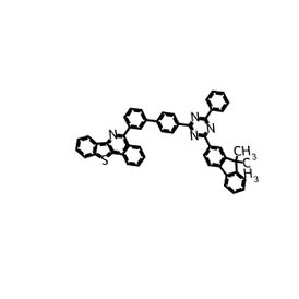 CC1(C)c2ccccc2-c2ccc(-c3nc(-c4ccccc4)nc(-c4ccc(-c5cccc(-c6nc7c8ccccc8sc7c7ccccc67)c5)cc4)n3)cc21